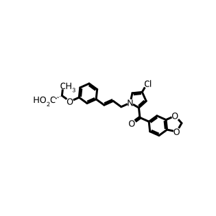 C[C@H](Oc1cccc(/C=C/Cn2cc(Cl)cc2C(=O)c2ccc3c(c2)OCO3)c1)C(=O)O